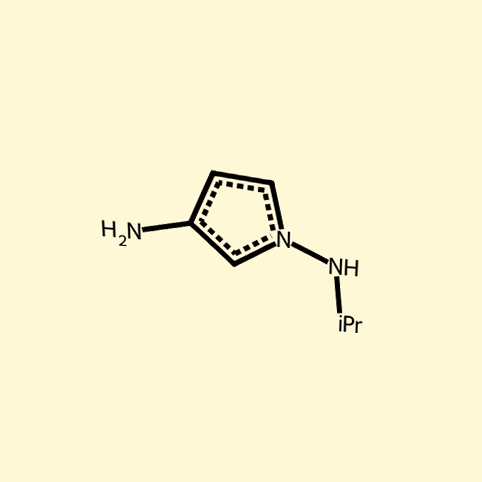 CC(C)Nn1ccc(N)c1